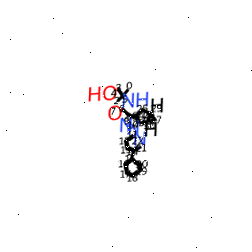 CC(C)(CO)NC(=O)c1nn(-c2ccc(-c3ccccc3)cn2)c2c1C[C@@H]1C[C@H]21